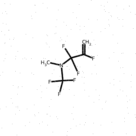 C=C(F)C(F)(F)N(C)C(F)(F)F